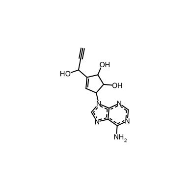 C#CC(O)C1=CC(n2cnc3c(N)ncnc32)C(O)C1O